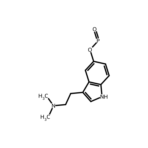 CN(C)CCc1c[nH]c2ccc(OP=O)cc12